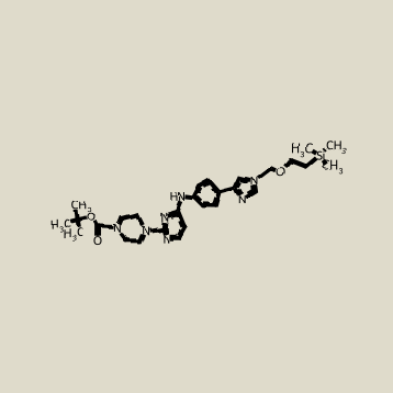 CC(C)(C)OC(=O)N1CCN(c2nccc(Nc3ccc(-c4cn(COCC[Si](C)(C)C)cn4)cc3)n2)CC1